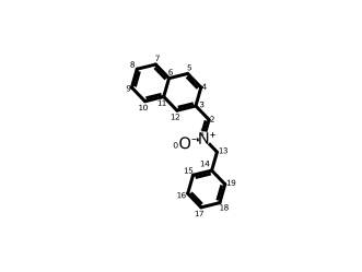 [O-][N+](=Cc1ccc2ccccc2c1)Cc1ccccc1